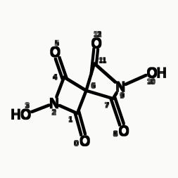 O=C1N(O)C(=O)C12C(=O)N(O)C2=O